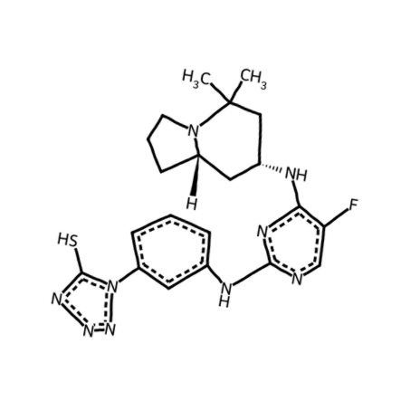 CC1(C)C[C@H](Nc2nc(Nc3cccc(-n4nnnc4S)c3)ncc2F)C[C@@H]2CCCN21